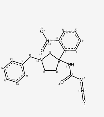 [N-]=[N+]=NC(=O)NC1(c2ccccc2[N+](=O)[O-])CCN(Cc2ccccc2)C1